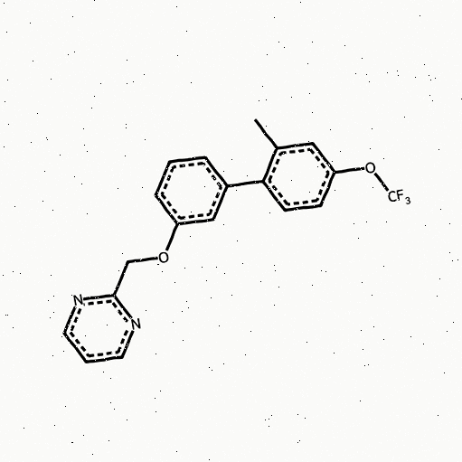 Cc1cc(OC(F)(F)F)ccc1-c1cccc(OCc2ncccn2)c1